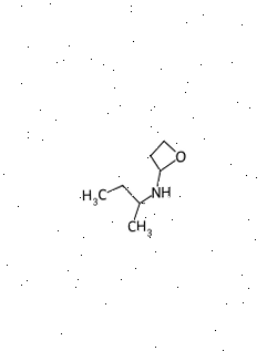 CC[C](C)NC1CCO1